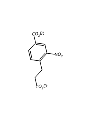 CCOC(=O)CCc1ccc(C(=O)OCC)cc1[N+](=O)[O-]